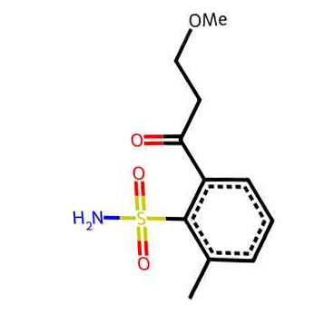 COCCC(=O)c1cccc(C)c1S(N)(=O)=O